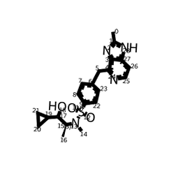 Cc1nc2c(Cc3ccc(S(=O)(=O)N(C)[C@@H](C)C(O)C4CC4)cc3)nccc2[nH]1